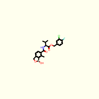 Cc1c(C(=O)NC(C(=O)OCc2ccc(F)c(Cl)c2)C(C)C)ccc2c1B(O)OC2